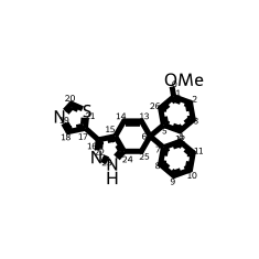 COc1cccc(C2(c3ccccc3)C=Cc3c(-c4cncs4)n[nH]c3C2)c1